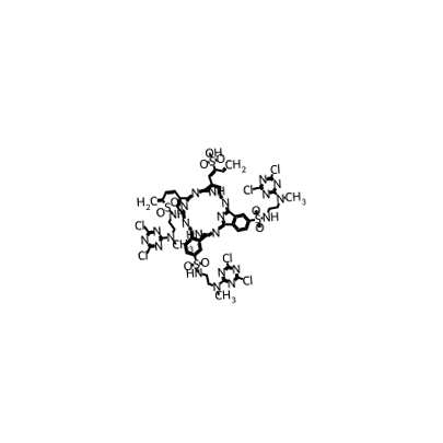 C=C/C(=C\c1cc2nc3nc(nc4[nH]c(nc5nc(nc1[nH]2)C(/C=C\C(=C)S(=O)(=O)NCCN(C)c1nc(Cl)nc(Cl)n1)=C5)c1ccc(S(=O)(=O)NCCN(C)c2nc(Cl)nc(Cl)n2)cc41)-c1ccc(S(=O)(=O)NCCN(C)c2nc(Cl)nc(Cl)n2)cc1-3)S(=O)(=O)O